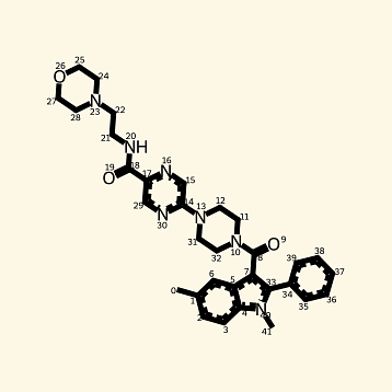 Cc1ccc2c(c1)c(C(=O)N1CCN(c3cnc(C(=O)NCCN4CCOCC4)cn3)CC1)c(-c1ccccc1)n2C